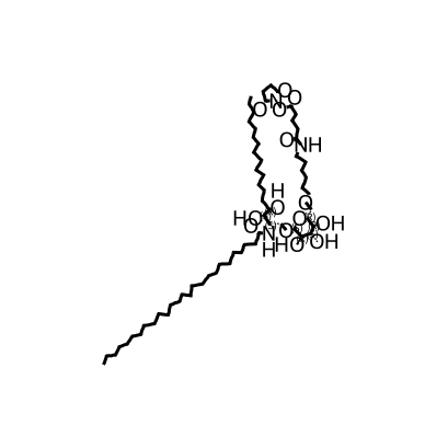 CCCCCCCCCCCCCCCCCCCCCCCCCC(=O)N[C@@H](CO[C@H]1O[C@H](COCCCCCCNC(=O)CCCC(=O)ON2C(=O)CCC2=O)[C@H](O)[C@H](O)[C@H]1O)[C@H](O)[C@H](O)CCCCCCCCCCCCCC